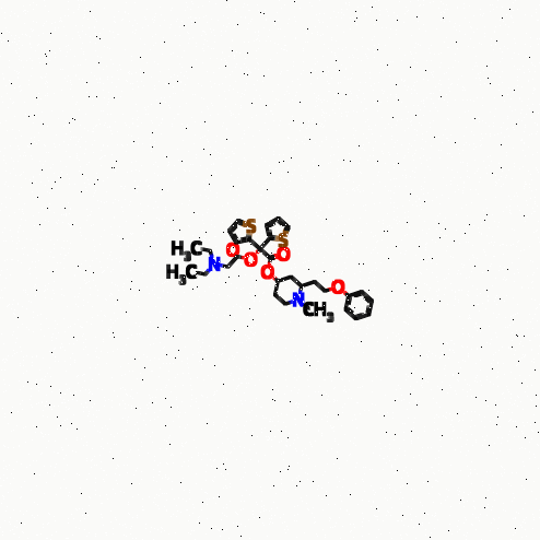 CCN(CC)CC(=O)OC(C(=O)OC1CCN(C)C(CCOc2ccccc2)C1)(c1cccs1)c1cccs1